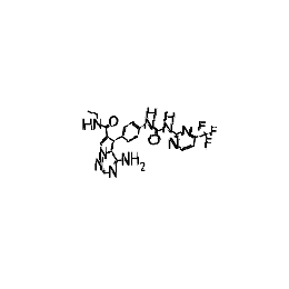 CCNC(=O)c1cn2ncnc(N)c2c1-c1ccc(NC(=O)Nc2nccc(C(F)(F)F)n2)cc1